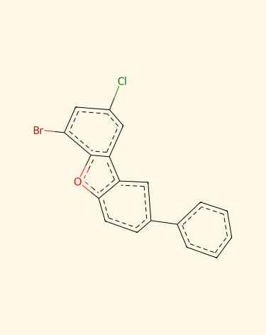 Clc1cc(Br)c2oc3ccc(-c4ccccc4)cc3c2c1